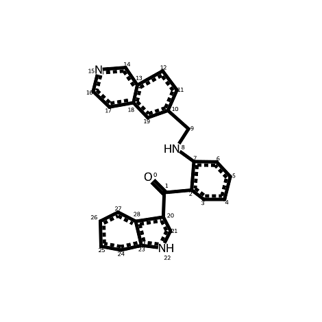 O=C(c1ccccc1NCc1ccc2cnccc2c1)c1c[nH]c2ccccc12